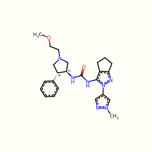 COCCN1C[C@@H](NC(=O)Nc2c3c(nn2-c2cnn(C)c2)CCC3)[C@H](c2ccccc2)C1